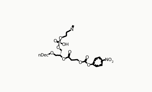 C=NCCOP(=O)(O)OC[C@@H](COCCCCCCCCCC)OC(=O)CCOC(=O)Oc1ccc([N+](=O)[O-])cc1